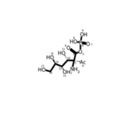 CC(=O)[C@@](N)(C(=O)OP(=O)(O)O)[C@@H](O)[C@H](O)[C@H](O)CO